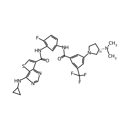 CN(C)[C@H]1CCN(c2cc(C(=O)Nc3ccc(F)c(NC(=O)c4csc5c(NC6CC6)ncnc45)c3)cc(C(F)(F)F)c2)C1